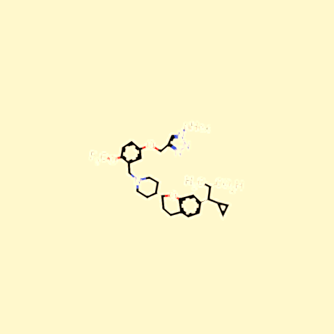 CCCCCCn1cc(COc2ccc(OC(F)(F)F)c(CN3CCC([C@H]4CCc5ccc([C@H](C6CC6)[C@H](C)C(=O)O)cc5O4)CC3)c2)nn1